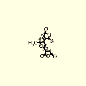 CC(C)C(C)(C)C(C=CC1CC(=O)OC1=O)C1CC(=O)OC1=O